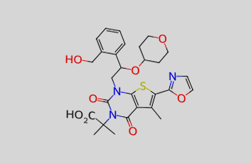 Cc1c(-c2ncco2)sc2c1c(=O)n(C(C)(C)C(=O)O)c(=O)n2CC(OC1CCOCC1)c1ccccc1CO